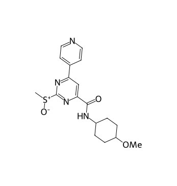 COC1CCC(NC(=O)c2cc(-c3ccncc3)nc([S+](C)[O-])n2)CC1